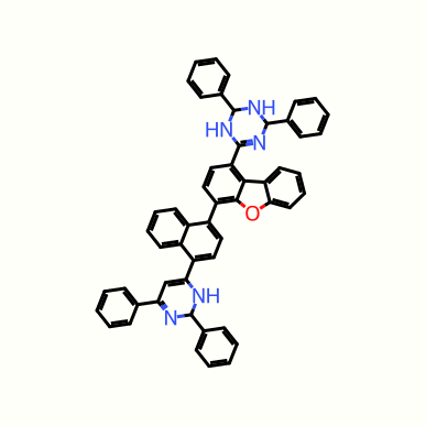 C1=C(c2ccc(-c3ccc(C4=NC(c5ccccc5)NC(c5ccccc5)N4)c4c3oc3ccccc34)c3ccccc23)NC(c2ccccc2)N=C1c1ccccc1